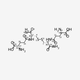 NC(=O)[C@H](CSSC[C@H](NC(=O)CC[C@H](N)C(=O)O)C(N)=O)NC(=O)CC[C@H](N)C(=O)O